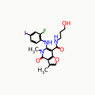 Cc1coc2c(C(=O)NCCCO)c(Nc3ccc(I)cc3F)n(C)c(=O)c12